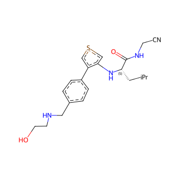 CC(C)C[C@H](Nc1cscc1-c1ccc(CNCCO)cc1)C(=O)NCC#N